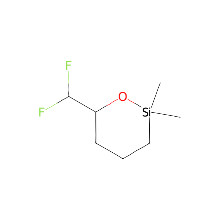 C[Si]1(C)CCCC(C(F)F)O1